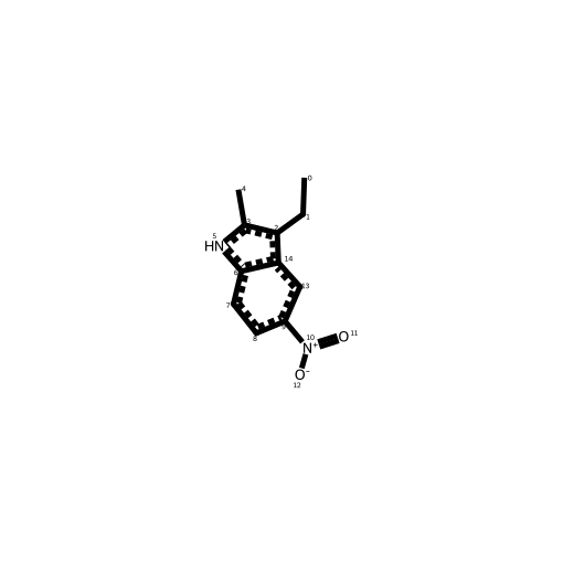 CCc1c(C)[nH]c2ccc([N+](=O)[O-])cc12